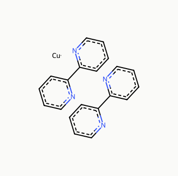 [Cu].c1ccc(-c2ccccn2)nc1.c1ccc(-c2ccccn2)nc1